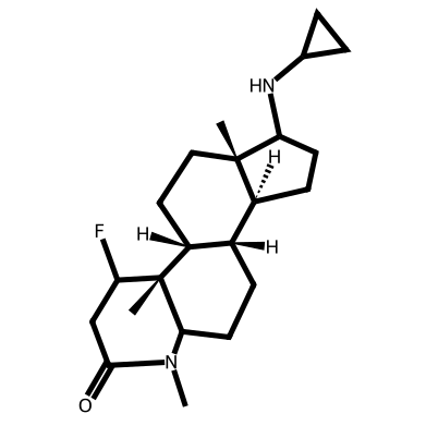 CN1C(=O)CC(F)[C@@]2(C)C1CC[C@@H]1[C@H]2CC[C@]2(C)C(NC3CC3)CC[C@@H]12